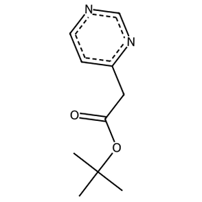 CC(C)(C)OC(=O)Cc1ccncn1